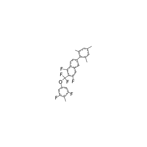 Cc1cc(C)c(-c2ccc3c(F)c(C(F)(F)Oc4cc(F)c(C)c(F)c4)c(F)cc3c2)c(C)c1